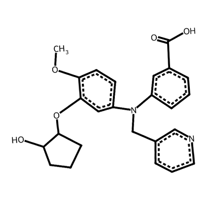 COc1ccc(N(Cc2cccnc2)c2cccc(C(=O)O)c2)cc1OC1CCCC1O